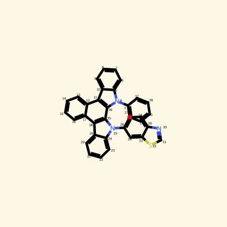 c1ccc(-n2c3ccccc3c3c4ccccc4c4c5ccccc5n(-c5ccc6ncsc6c5)c4c32)cc1